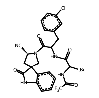 CC(C)(C)C(NC(=O)C(F)(F)F)C(=O)NC(Cc1cccc(Cl)c1)C(=O)N1C[C@]2(C[C@H]1C#N)C(=O)Nc1ccccc12